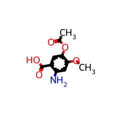 COc1cc(N)c(C(=O)O)cc1OC(C)=O